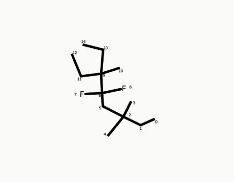 CCC(C)(C)CC(F)(F)C(C)(CC)CC